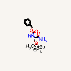 CC(C)(C)[Si](C)(C)OC[C@H](NC(=O)OCc1ccccc1)C(N)=O